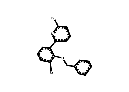 Brc1cccc(-c2cccc(Br)c2OCc2ccccc2)n1